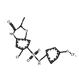 CC1Oc2cc(S(=O)(=O)Nc3ccc(OC(F)(F)F)cc3)c(Cl)cc2NC1=O